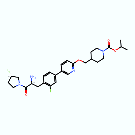 CC(C)OC(=O)N1CCC(COc2ccc(-c3ccc(C[C@H](N)C(=O)N4CC[C@H](F)C4)c(F)c3)cn2)CC1